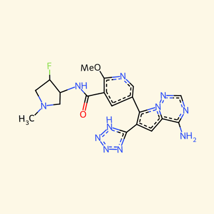 COc1ncc(-c2c(-c3nnn[nH]3)cc3c(N)ncnn23)cc1C(=O)NC1CN(C)CC1F